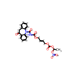 CC(OC(=O)OCC=CCOC(=O)NC(=O)N1c2ccccc2CC(=O)c2ccccc21)O[N+](=O)[O-]